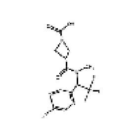 CN(C(=O)C1CN(C(=O)O)C1)C(c1ccc(N)cn1)C(F)(F)F